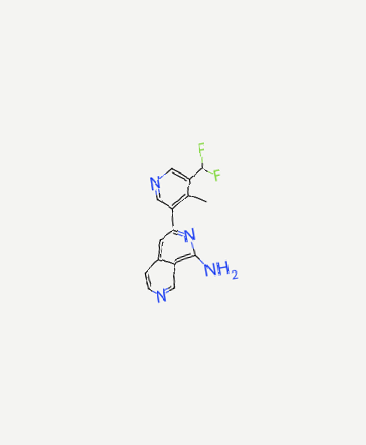 Cc1c(-c2cc3ccncc3c(N)n2)cncc1C(F)F